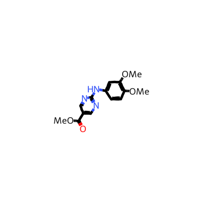 COC(=O)c1cnc(Nc2ccc(OC)c(OC)c2)nc1